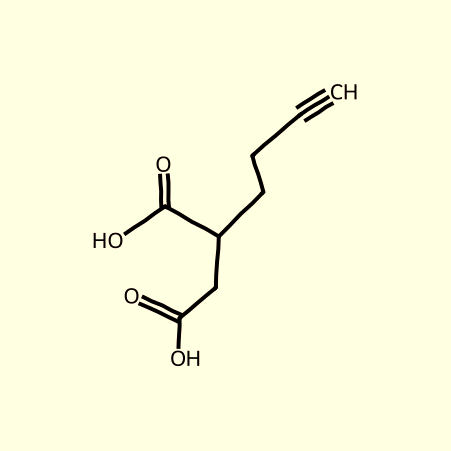 C#CCCC(CC(=O)O)C(=O)O